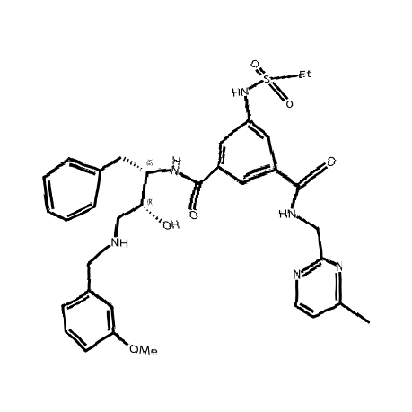 CCS(=O)(=O)Nc1cc(C(=O)NCc2nccc(C)n2)cc(C(=O)N[C@@H](Cc2ccccc2)[C@H](O)CNCc2cccc(OC)c2)c1